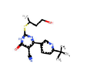 CC(CCO)Sc1nc(-c2ccc(C(C)(C)C)nc2)c(C#N)c(=O)[nH]1